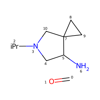 C=O.CC(C)N1CC(N)C2(CC2)C1